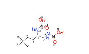 CC(C)(C)CCC(CNC(=O)O)NC(=O)O